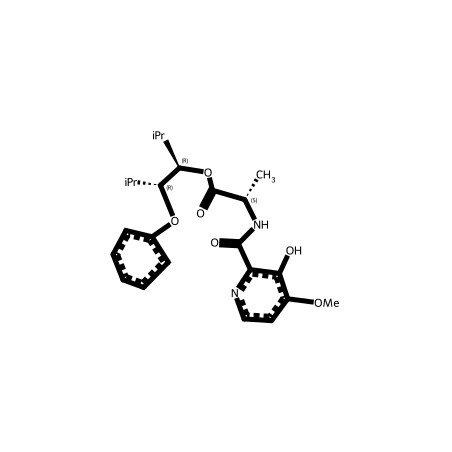 COc1ccnc(C(=O)N[C@@H](C)C(=O)O[C@H](C(C)C)[C@H](Oc2ccccc2)C(C)C)c1O